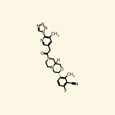 Cc1cc(CC(=O)N2CCN3C[C@@H](c4ccc(F)c(C#N)c4C)OC[C@H]3C2)cnc1-n1cnnn1